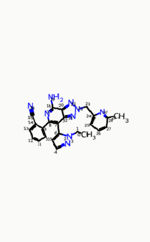 CCn1nccc1-c1c(-c2ccccc2C#N)nc(N)c2nn(Cc3cccc(C)n3)nc12